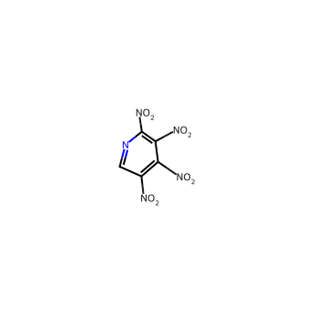 O=[N+]([O-])c1cnc([N+](=O)[O-])c([N+](=O)[O-])c1[N+](=O)[O-]